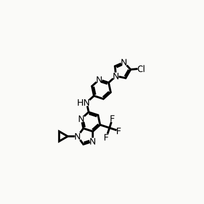 FC(F)(F)c1cc(Nc2ccc(-n3cnc(Cl)c3)nc2)nc2c1ncn2C1CC1